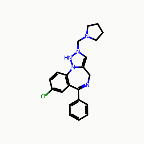 Clc1ccc2c(c1)C(c1ccccc1)=NCC1=CN(CN3CCCC3)NN12